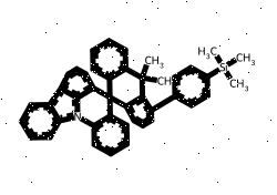 CC1(C)c2ccccc2C2(c3ccccc3-n3c4ccccc4c4cccc2c43)c2cccc(-c3ccc([Si](C)(C)C)cc3)c21